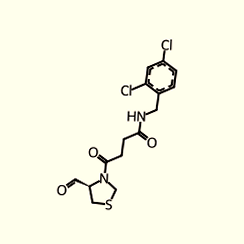 O=C[C@@H]1CSCN1C(=O)CCC(=O)NCc1ccc(Cl)cc1Cl